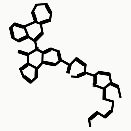 C=C(/C=C\C(=C/C)c1ccc(=C/C)/c(=C\C/C=C\C=C/C)n1)c1ccc2c(c1)-c1ccccc1C(=C)N2c1cc2c(c3ccccc13)=CCC=CC=2